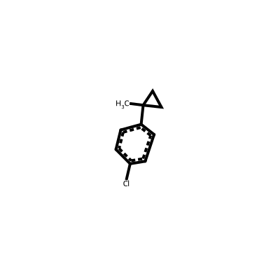 CC1(c2ccc(Cl)cc2)CC1